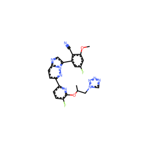 COc1cc(F)cc(-c2cnc3ccc(-c4ccc(F)c(OC(C)Cn5cnnn5)n4)nn23)c1C#N